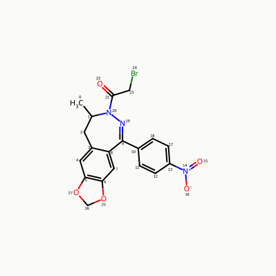 CC1Cc2cc3c(cc2C(c2ccc([N+](=O)[O-])cc2)=NN1C(=O)CBr)OCO3